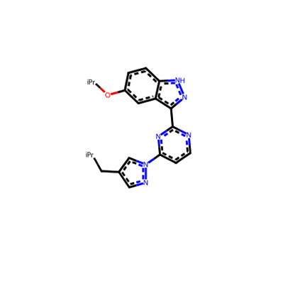 CC(C)Cc1cnn(-c2ccnc(-c3n[nH]c4ccc(OC(C)C)cc34)n2)c1